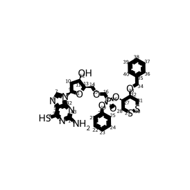 Nc1nc(S)c2ncn([C@H]3C[C@H](O)[C@@H](COCP(=O)(Oc4ccccc4)O[C@H]4CSSC[C@@H]4OCc4ccccc4)O3)c2n1